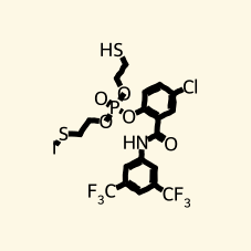 O=C(Nc1cc(C(F)(F)F)cc(C(F)(F)F)c1)c1cc(Cl)ccc1OP(=O)(OCCS)OCCSI